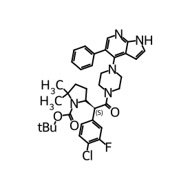 CC(C)(C)OC(=O)N1C([C@@H](C(=O)N2CCN(c3c(-c4ccccc4)cnc4[nH]ccc34)CC2)c2ccc(Cl)c(F)c2)CCC1(C)C